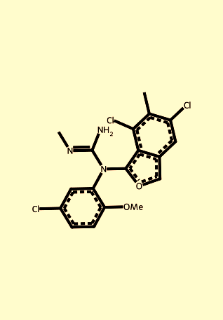 CN=C(N)N(c1cc(Cl)ccc1OC)c1occ2cc(Cl)c(C)c(Cl)c12